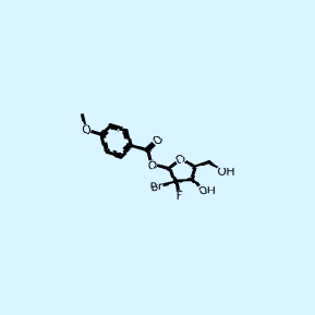 COc1ccc(C(=O)OC2OC(CO)C(O)C2(F)Br)cc1